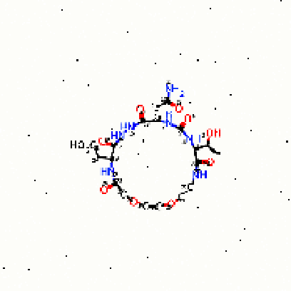 CC(O)C1NC(=O)N[C@@H](CC(N)=O)C(=O)NNC(=O)[C@H](CC(=O)O)NC(=O)COCCOCCNC1=O